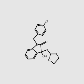 O=C1N(Cc2ccc(Cl)cc2)c2ccccc2C1(O)CC1OCCO1